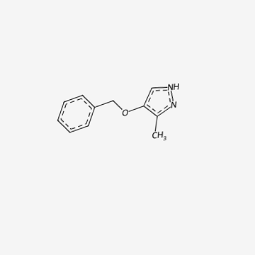 Cc1n[nH]cc1OCc1ccccc1